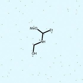 CCC(NCO)OC